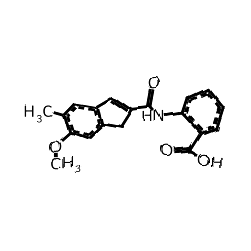 COc1cc2c(cc1C)C=C(C(=O)Nc1ccccc1C(=O)O)C2